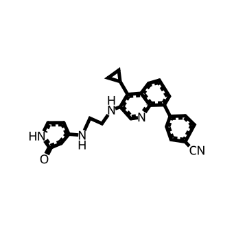 N#Cc1ccc(-c2cccc3c(C4CC4)c(NCCNc4cc[nH]c(=O)c4)cnc23)cc1